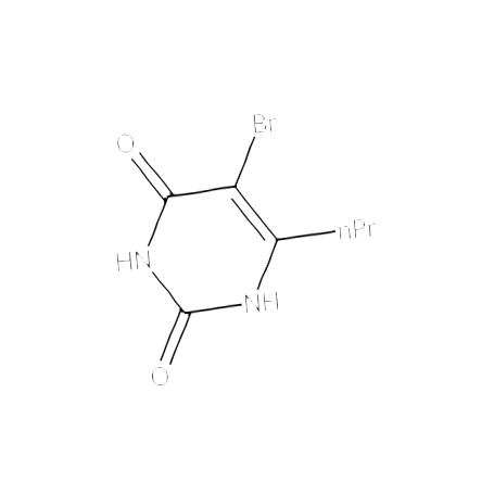 CCCc1[nH]c(=O)[nH]c(=O)c1Br